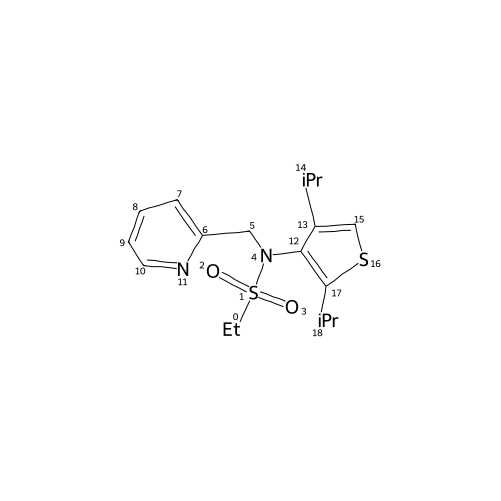 CCS(=O)(=O)N(Cc1ccccn1)c1c(C(C)C)csc1C(C)C